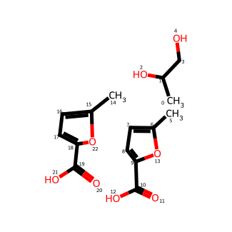 CC(O)CO.Cc1ccc(C(=O)O)o1.Cc1ccc(C(=O)O)o1